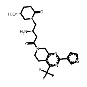 C[C@@H]1CCC(=O)N(C[C@H](N)CC(=O)N2CCc3c(nc(-c4ccsc4)nc3C(F)(F)F)C2)C1